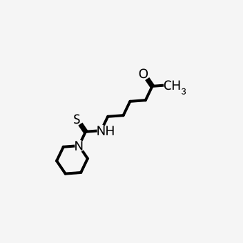 CC(=O)CCCCNC(=S)N1CCCCC1